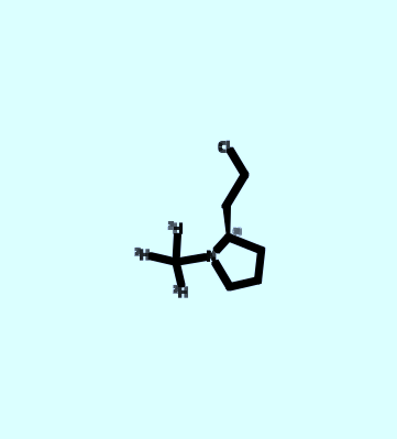 [2H]C([2H])([2H])N1CCC[C@@H]1CCCl